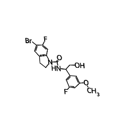 COc1cc(F)cc(C(CO)NC(=O)N2CCc3cc(Br)c(F)cc32)c1